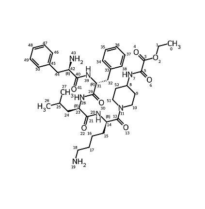 CCOC(=O)C(=O)NC1CCN(C(=O)[C@@H](CCCCN)NC(=O)[C@@H](CC(C)C)NC(=O)[C@@H](Cc2ccccc2)NC(=O)[C@H](N)Cc2ccccc2)CC1